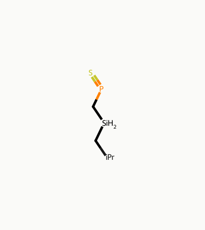 CC(C)C[SiH2]CP=S